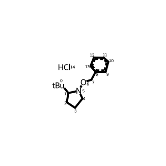 CC(C)(C)C1CCCN1OCc1ccccc1.Cl